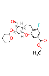 CCOC(=O)c1cc(F)c2c(c1)O[C@H]1C[C@@H](OC3CCCCO3)[C@H](C=O)[C@H]1CC2